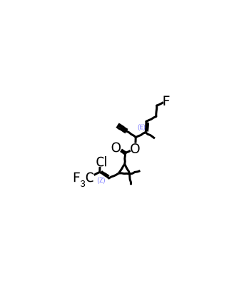 C#CC(OC(=O)C1C(/C=C(\Cl)C(F)(F)F)C1(C)C)/C(C)=C/CCF